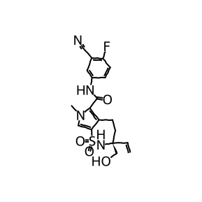 C=C[C@@]1(CO)CCc2c(cn(C)c2C(=O)Nc2ccc(F)c(C#N)c2)S(=O)(=O)N1